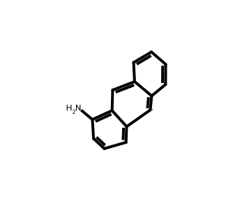 Nc1cccc2[c]c3ccccc3cc12